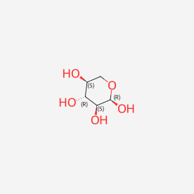 O[C@H]1[C@H](O)[C@@H](O)CO[C@H]1O